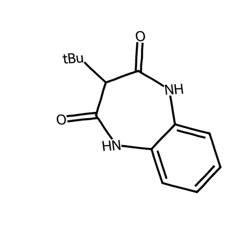 CC(C)(C)C1C(=O)Nc2ccccc2NC1=O